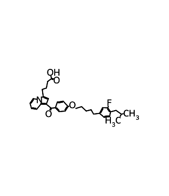 CC(C)Cc1ccc(CCCCCOc2ccc(C(=O)c3cc(CCCC(=O)O)n4ccccc34)cc2)cc1F